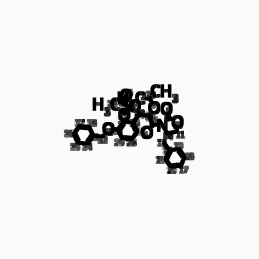 CC(C)O[C@H](C(=O)N1C(=O)OC[C@@H]1Cc1ccccc1)[C@H](OS(C)(=O)=O)c1cccc(OCc2ccccc2)c1